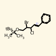 CC(C)(C)[Si](C)(C)OCC(Br)C(Cl)/C=C/c1ccccc1